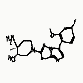 COc1cc(F)ccc1-c1cnc2sc(N3CC[C@](C)(N)[C@@H](O)C3)nn12